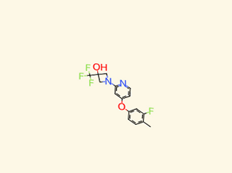 Cc1ccc(Oc2ccnc(N3CC(O)(C(F)(F)F)C3)c2)cc1F